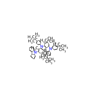 CC1=C(N2c3ccccc3C3C=CC=CC32)CC(C)(C)C2=C1N(c1ccc(C(C)(C)C)cc1)c1cc(C(C)(C)C)cc3c1B2c1cc(C(C)(C)C)ccc1N3c1ccc(C(C)(C)C)cc1